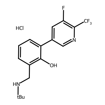 CC(C)(C)NCc1cccc(-c2cnc(C(F)(F)F)c(F)c2)c1O.Cl